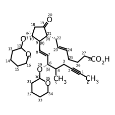 CC#CCC(C)[C@@H](C=C[C@H]1[C@H](OC2CCCCO2)CC(=O)[C@@H]1CC=CCCCC(=O)O)OC1CCCCO1